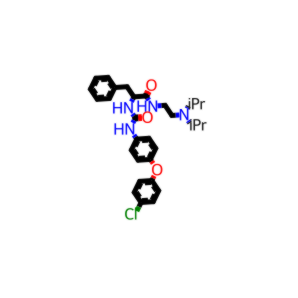 CC(C)N(CCNC(=O)C(Cc1ccccc1)NC(=O)Nc1ccc(Oc2ccc(Cl)cc2)cc1)C(C)C